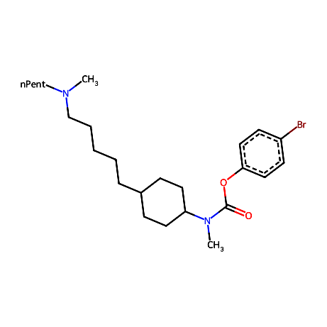 CCCCCN(C)CCCCCC1CCC(N(C)C(=O)Oc2ccc(Br)cc2)CC1